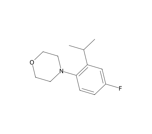 CC(C)c1cc(F)ccc1N1CCOCC1